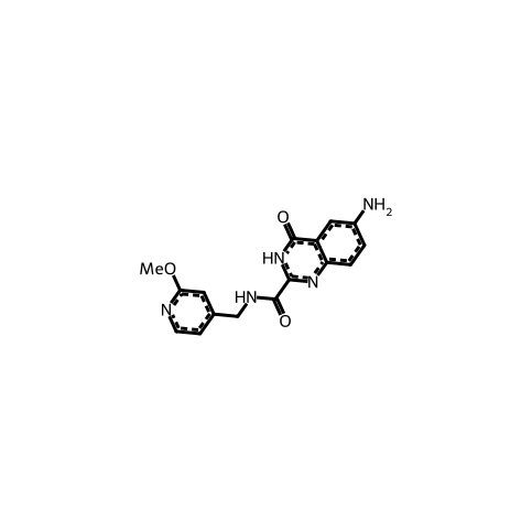 COc1cc(CNC(=O)c2nc3ccc(N)cc3c(=O)[nH]2)ccn1